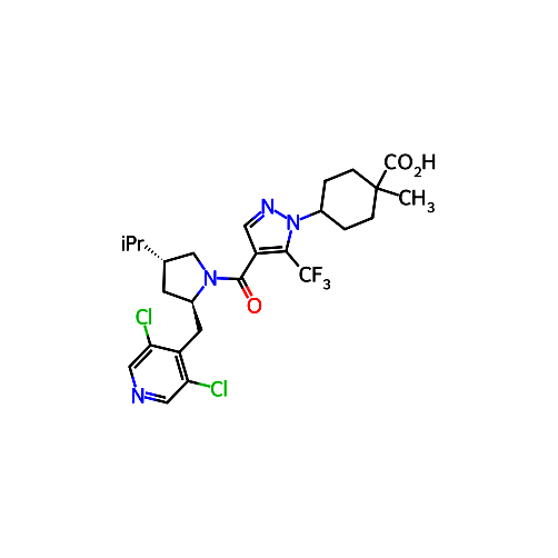 CC(C)[C@H]1C[C@H](Cc2c(Cl)cncc2Cl)N(C(=O)c2cnn(C3CCC(C)(C(=O)O)CC3)c2C(F)(F)F)C1